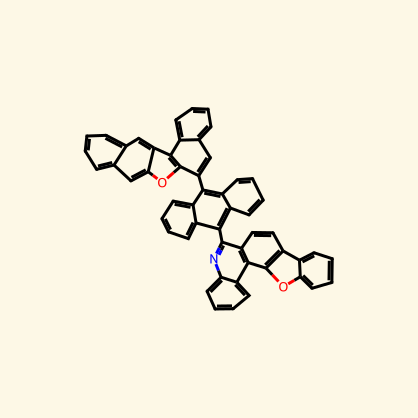 c1ccc2cc3c(cc2c1)oc1c(-c2c4ccccc4c(-c4nc5ccccc5c5c4ccc4c6ccccc6oc45)c4ccccc24)cc2ccccc2c13